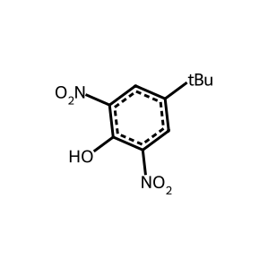 CC(C)(C)c1cc([N+](=O)[O-])c(O)c([N+](=O)[O-])c1